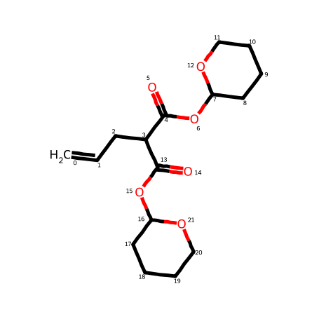 C=CCC(C(=O)OC1CCCCO1)C(=O)OC1CCCCO1